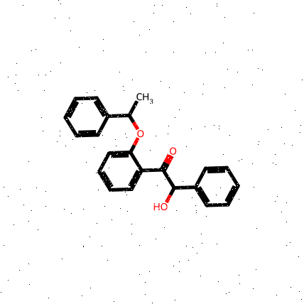 CC(Oc1ccccc1C(=O)C(O)c1ccccc1)c1ccccc1